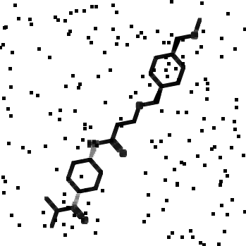 COC[C@H]1CC[C@@H](COCCC(=O)N[C@H]2CC[C@@H](C(=O)C(C)C)CC2)CC1